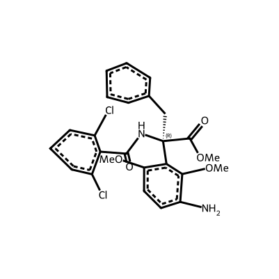 COC(=O)[C@](Cc1ccccc1)(NC(=O)c1c(Cl)cccc1Cl)c1c(OC)ccc(N)c1OC